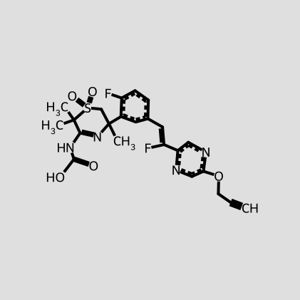 C#CCOc1cnc(C(F)=Cc2ccc(F)c(C3(C)CS(=O)(=O)C(C)(C)C(NC(=O)O)=N3)c2)cn1